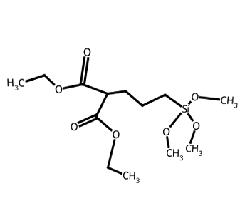 CCOC(=O)C(CCC[Si](OC)(OC)OC)C(=O)OCC